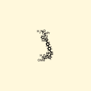 CCC[C@H](OC(N)=O)C(=O)N1CCC[C@H]1c1ncc(-c2ccc(-c3ccc(-c4cnc(C5CCCN5C(=O)[C@H](C)NC(=O)OC)[nH]4)cc3)cc2)[nH]1